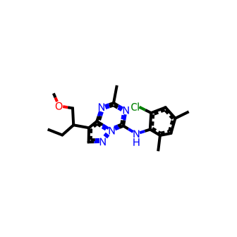 CCC(COC)c1cnn2c(Nc3c(C)cc(C)cc3Cl)nc(C)nc12